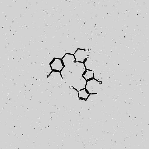 CCn1ncc(C)c1-c1cc(C(=O)N[C@H](CN)Cc2ccc(F)c(F)c2)sc1Cl